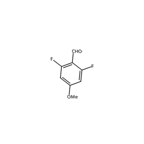 COc1cc(F)c([C]=O)c(F)c1